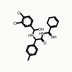 Cc1ccc(C(NC(O)c2ccc(Cl)c(Cl)c2)C(=O)NC(=N)C2=CC=CCC2)cc1